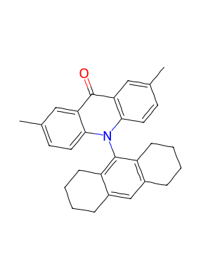 Cc1ccc2c(c1)c(=O)c1cc(C)ccc1n2-c1c2c(cc3c1CCCC3)CCCC2